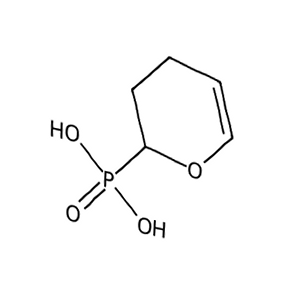 O=P(O)(O)C1CCC=CO1